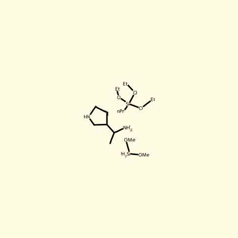 CC(N)C1CCNC1.CCC[Si](OCC)(OCC)OCC.CO[SiH2]OC